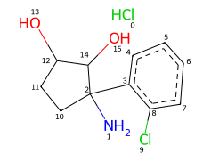 Cl.NC1(c2ccccc2Cl)CCC(O)C1O